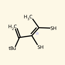 C=C(/C(S)=C(\C)S)C(C)(C)C